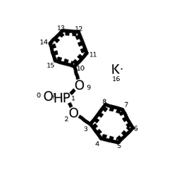 O=[PH](Oc1ccccc1)Oc1ccccc1.[K]